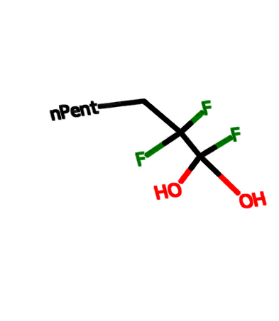 CCCCCCC(F)(F)C(O)(O)F